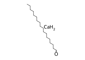 CCCCCCCCCCCCCCCCCC=O.[CaH2]